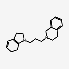 C1=CC2=C(CC1)N(CCCN1CCc3ccccc3C1)CC2